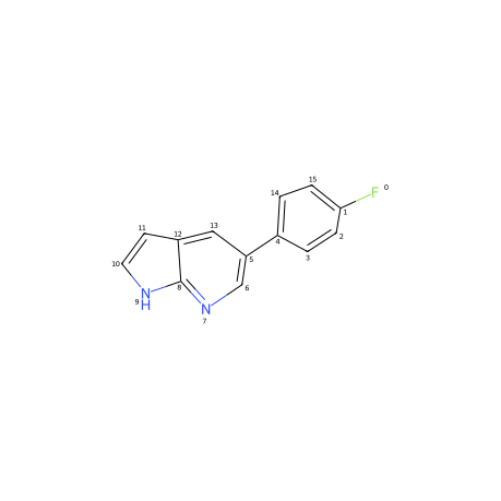 Fc1ccc(-c2cnc3[nH]ccc3c2)cc1